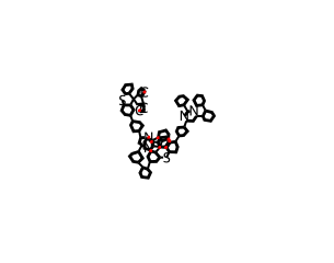 c1ccc(-c2nc(-c3ccc(-c4ccc5c(c4)C4(c6ccccc6S5)c5ccccc5-c5ccccc54)cc3)cc(-c3cccc(-c4ccccc4-c4ccc5c(c4)Sc4ccc(-c6ccc(-c7cc(-c8ccccc8-c8ccccc8)nc(-c8ccccc8)n7)cc6)cc4C54c5ccccc5-c5ccccc54)c3)n2)cc1